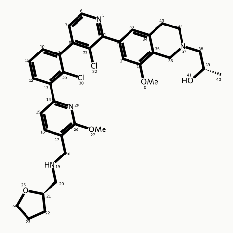 COc1cc(-c2nccc(-c3cccc(-c4ccc(CNC[C@H]5CCCO5)c(OC)n4)c3Cl)c2Cl)cc2c1CN(C[C@H](C)O)CC2